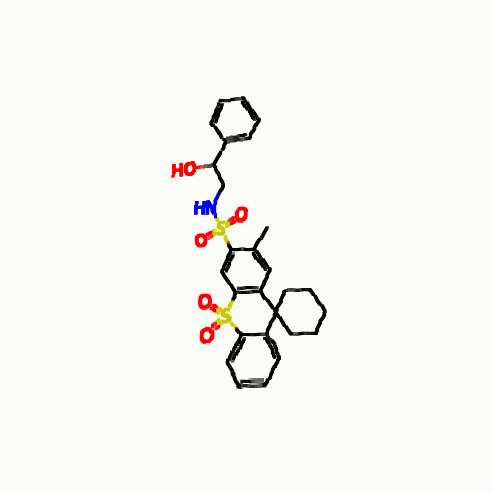 Cc1cc2c(cc1S(=O)(=O)NCC(O)c1ccccc1)S(=O)(=O)c1ccccc1C21CCCCC1